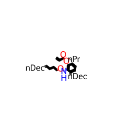 C=CC(=O)OCCC.CCCCCCCCCCCCCCONc1ccccc1CCCCCCCCCC